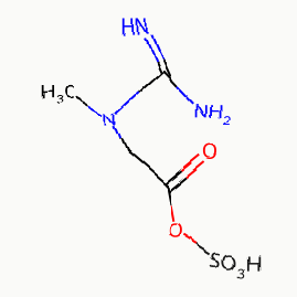 CN(CC(=O)OS(=O)(=O)O)C(=N)N